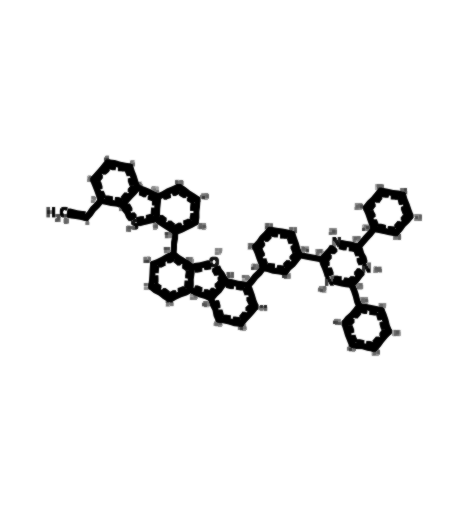 C=Cc1cccc2c1sc1c(-c3cccc4c3oc3c(-c5cccc(-c6nc(-c7ccccc7)nc(-c7ccccc7)n6)c5)cccc34)cccc12